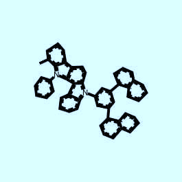 Cc1cccc2c3ccc4c(c5ccccc5n4-c4cc(-c5cccc6ccccc56)cc(-c5cccc6ccccc56)c4)c3n(-c3ccccc3)c12